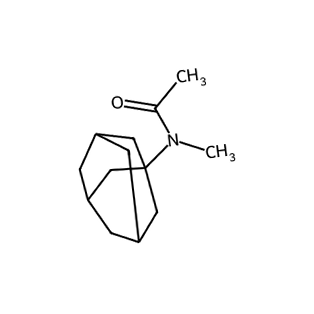 CC(=O)N(C)C12CC3CC(CC(C3)C1)C2